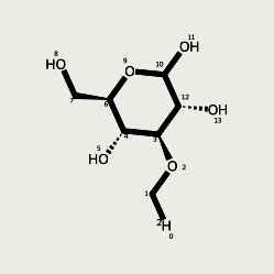 [2H]CO[C@H]1[C@H](O)[C@@H](CO)OC(O)[C@@H]1O